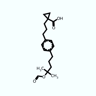 CC(C)(CCCc1ccc(CCCC2(C(=O)O)CC2)cc1)OC=O